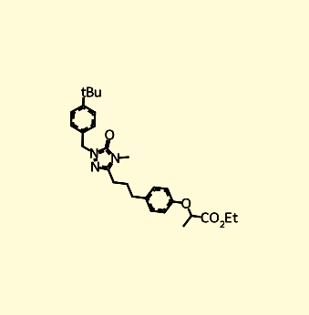 CCOC(=O)C(C)Oc1ccc(CCCc2nn(Cc3ccc(C(C)(C)C)cc3)c(=O)n2C)cc1